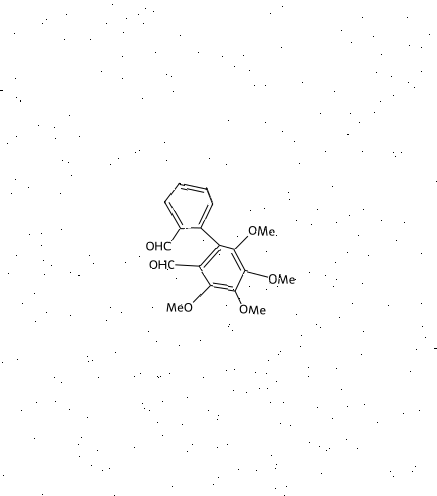 COc1c(C=O)c(-c2ccccc2C=O)c(OC)c(OC)c1OC